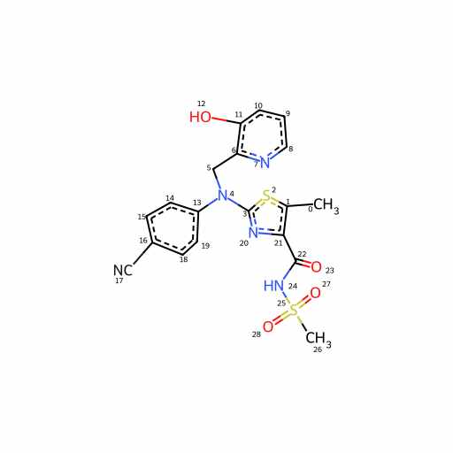 Cc1sc(N(Cc2ncccc2O)c2ccc(C#N)cc2)nc1C(=O)NS(C)(=O)=O